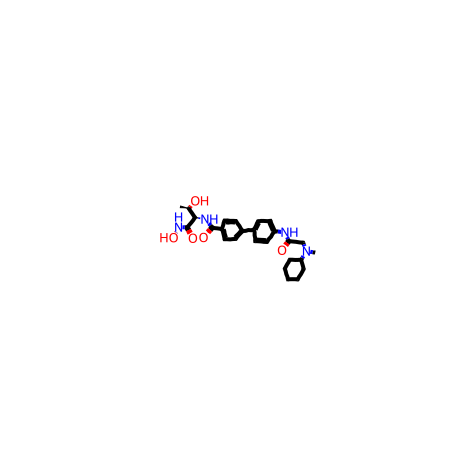 C[C@@H](O)[C@H](NC(=O)c1ccc(-c2ccc(NC(=O)CN(C)C3CCCCC3)cc2)cc1)C(=O)NO